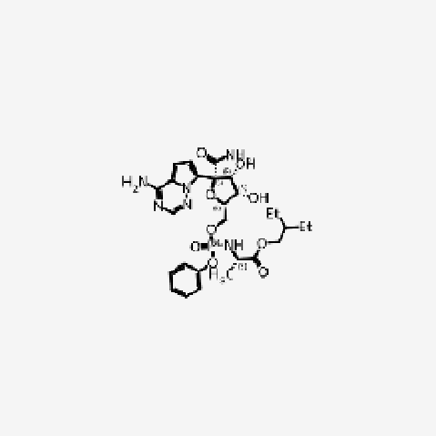 CCC(CC)COC(=O)[C@H](C)N[P@](=O)(OC[C@H]1O[C@@](C(N)=O)(c2ccc3c(N)ncnn23)[C@H](O)[C@@H]1O)Oc1ccccc1